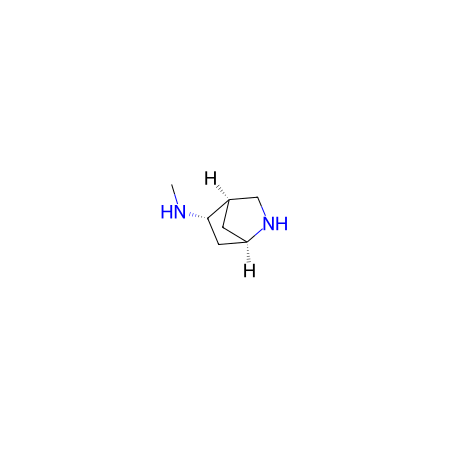 CN[C@H]1C[C@H]2C[C@@H]1CN2